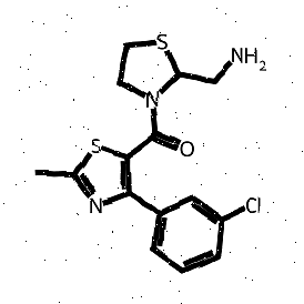 Cc1nc(-c2cccc(Cl)c2)c(C(=O)N2CCSC2CN)s1